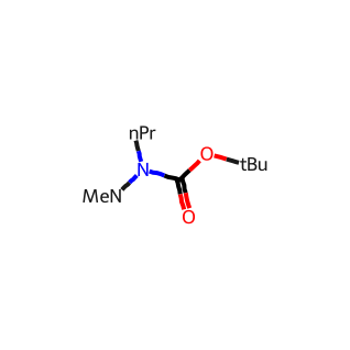 CCCN(NC)C(=O)OC(C)(C)C